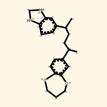 CC(CCC(C)c1ccc2c(c1)OCCCO2)c1ccc2c(c1)NCN2